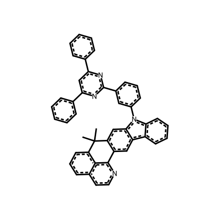 CC1(C)c2cc3c(cc2-c2nccc4cccc1c24)c1ccccc1n3-c1cccc(-c2nc(-c3ccccc3)cc(-c3ccccc3)n2)c1